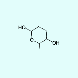 CC1OC(O)CCC1O